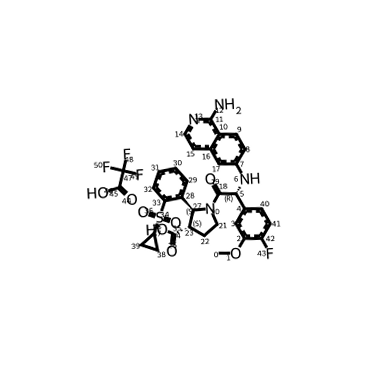 COc1cc([C@@H](Nc2ccc3c(N)nccc3c2)C(=O)N2CC[C@H](C(=O)O)[C@H]2c2ccccc2S(=O)(=O)C2CC2)ccc1F.O=C(O)C(F)(F)F